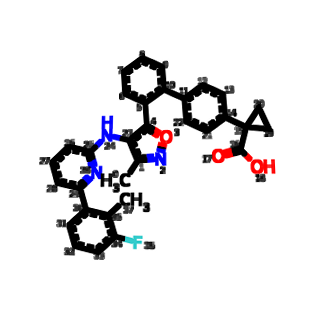 Cc1noc(-c2ccccc2-c2ccc(C3(C(=O)O)CC3)cc2)c1Nc1cccc(-c2cccc(F)c2C)n1